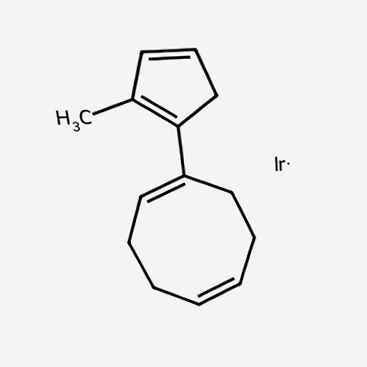 CC1=C(/C2=C/CC/C=C\CC2)CC=C1.[Ir]